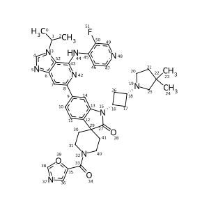 CC(C)n1cnc2cc(-c3ccc4c(c3)N([C@H]3C[C@@H](N5CCC(C)(C)C5)C3)C(=O)C43CCN(C(=O)c4cnco4)CC3)nc(Nc3ccncc3F)c21